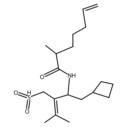 C=CCCCC(C)C(=O)NC(CC1CCC1)C(C[SH](=O)=O)=C(C)C